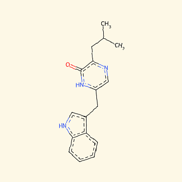 CC(C)Cc1ncc(Cc2c[nH]c3ccccc23)[nH]c1=O